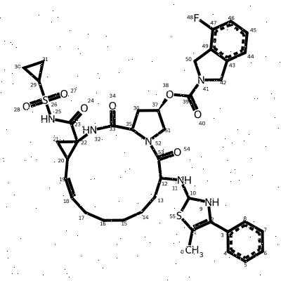 CC1=C(c2ccccc2)NC(NC2CCCCC/C=C\C3CC3(C(=O)NS(=O)(=O)C3CC3)NC(=O)C3C[C@@H](OC(=O)N4Cc5cccc(F)c5C4)CN3C2=O)S1